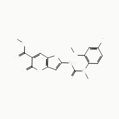 COC(=O)c1cc2sc(NC(=O)N(C)c3ccc(F)cc3OC)cc2oc1=O